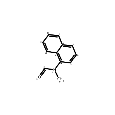 CN([C]=O)c1[c]ccc2ccccc12